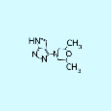 CC1CN(c2ncnc3[nH]ccc23)CC(C)O1